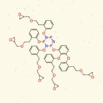 c1ccc(Oc2cccc(Op3npn(Oc4ccccc4CCOCC4CO4)p(Oc4ccccc4CCOCC4CO4)n3Oc3ccccc3CCOCC3CO3)c2Oc2ccccc2CCOCC2CO2)c(CCOCC2CO2)c1